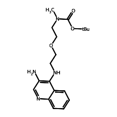 CN(CCOCCNc1c(N)cnc2ccccc12)C(=O)OC(C)(C)C